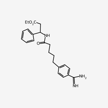 CCOC(=O)CC(NC(=O)CCCCc1ccc(C(=N)N)cc1)c1ccccc1